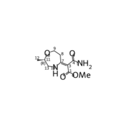 COC(=O)C(C(N)=O)=C1CCO[C@H](C)CN1